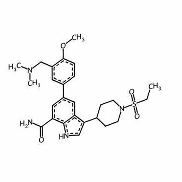 CCS(=O)(=O)N1CCC(c2c[nH]c3c(C(N)=O)cc(-c4ccc(OC)c(CN(C)C)c4)cc23)CC1